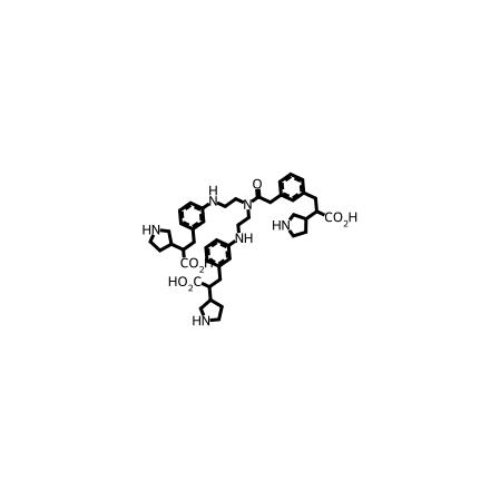 O=C(O)C(Cc1cccc(CC(=O)N(CCNc2cccc(CC(C(=O)O)C3CCNC3)c2)CCNc2cccc(CC(C(=O)O)C3CCNC3)c2)c1)C1CCNC1